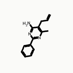 C=CCc1c(C)nc(-c2ccccc2)nc1N